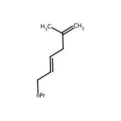 C=C(C)CC=CCCCC